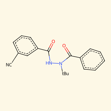 CC(C)(C)N(NC(=O)c1cccc(C#N)c1)C(=O)c1ccccc1